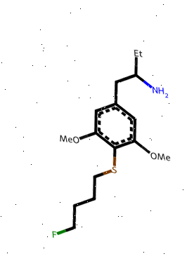 CCC(N)Cc1cc(OC)c(SCCCCF)c(OC)c1